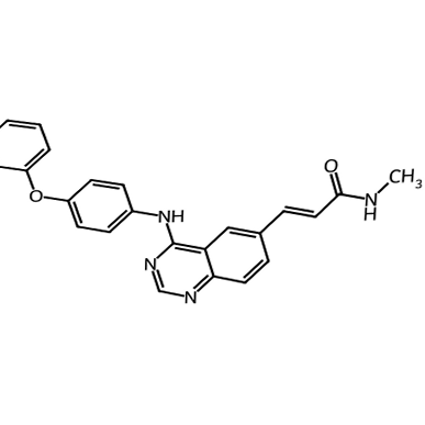 CNC(=O)C=Cc1ccc2ncnc(Nc3ccc(Oc4ccccc4)cc3)c2c1